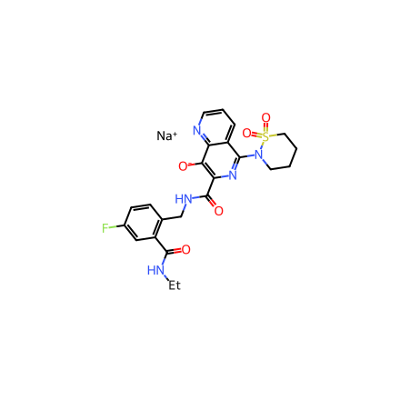 CCNC(=O)c1cc(F)ccc1CNC(=O)c1nc(N2CCCCS2(=O)=O)c2cccnc2c1[O-].[Na+]